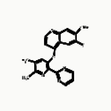 COc1cc2nccc(Oc3cc(C)c(C)nc3-c3ncccn3)c2cc1F